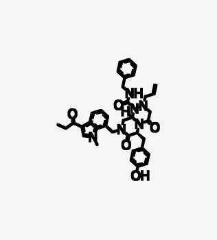 C=CCN1CC(=O)N2[C@@H](Cc3ccc(O)cc3)C(=O)N(Cc3cccc4c(C(=O)CC)cn(C)c34)C[C@@H]2N1C(=O)NCc1ccccc1